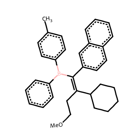 COCC/C(=C(\B(c1ccccc1)c1ccc(C)cc1)c1ccc2ccccc2c1)C1CCCCC1